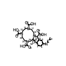 COc1ccc(N=C=S)cc1C(C(=O)O)N1CCN(C(=O)O)CCN(C(=O)O)CCN(C(=O)O)CC1C